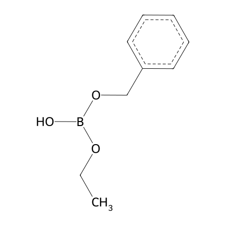 CCOB(O)OCc1ccccc1